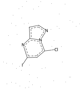 Clc1cc(I)nc2ccnn12